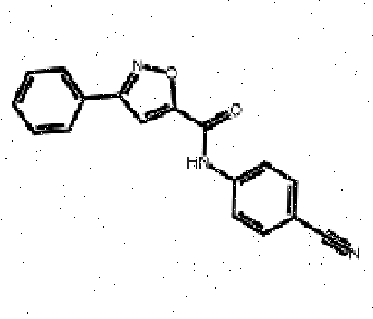 N#Cc1ccc(NC(=O)c2cc(-c3ccccc3)no2)cc1